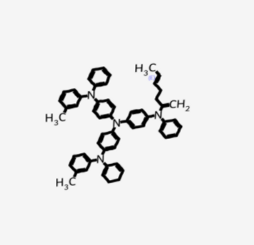 C=C(CC/C=C/C)N(c1ccccc1)c1ccc(N(c2ccc(N(C3=CCCC=C3)c3cccc(C)c3)cc2)c2ccc(N(c3ccccc3)c3cccc(C)c3)cc2)cc1